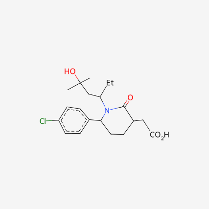 CCC(CC(C)(C)O)N1C(=O)C(CC(=O)O)CCC1c1ccc(Cl)cc1